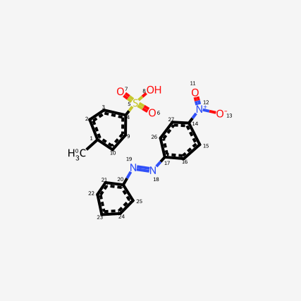 Cc1ccc(S(=O)(=O)O)cc1.O=[N+]([O-])c1ccc(N=Nc2ccccc2)cc1